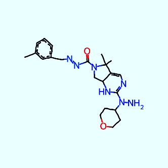 Cc1cccc(CN=NC(=O)N2CC3NC(N(N)C4CCOCC4)=NC=C3C2(C)C)c1